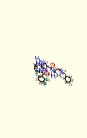 O=C(NC1CCN(Cc2ccccc2)CC1)c1cnc2c(n1)N(C(=O)c1c(F)ccc(F)c1F)CCCN2